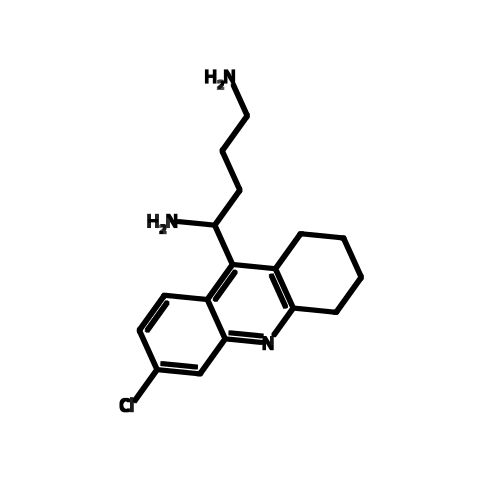 NCCCC(N)c1c2c(nc3cc(Cl)ccc13)CCCC2